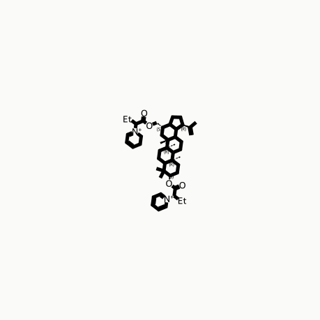 C=C(C)[C@@H]1CCC2C1C1CCC3[C@@]4(C)CC[C@H](OC(=O)C(CC)[n+]5ccccc5)C(C)(C)C4CC[C@@]3(C)[C@]1(C)C[C@@H]2COC(=O)C(CC)[N+]1=CC=CCC1